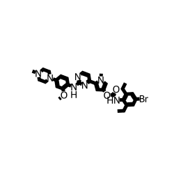 CCc1cc(Br)cc(CC)c1NC(=O)Oc1cc(-c2ccnc(Nc3ccc(N4CCN(C)CC4)cc3OC)n2)n(C)c1